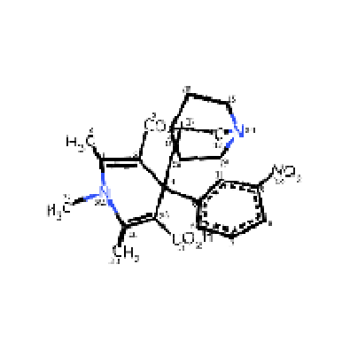 CC1=C(C(=O)O)C(c2cccc([N+](=O)[O-])c2)(C2CN3CCC2CC3)C(C(=O)O)=C(C)N1C